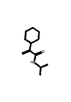 C=C(C(=O)NC(C)C)C1CCCCC1